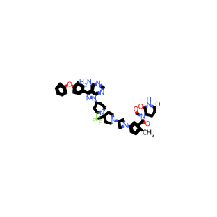 Cc1ccc(N2CC(N3CCC(N4CCC(n5nc(-c6ccc(Oc7ccccc7)cc6)c6c(N)ncnc65)CC4)(C(F)(F)F)CC3)C2)cc1C(=O)N(C=O)C1CCC(=O)NC1=O